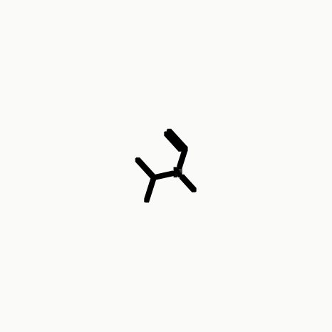 C=CN(C)C(C)C